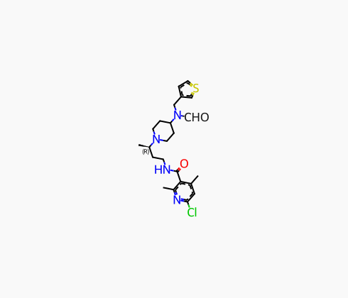 Cc1cc(Cl)nc(C)c1C(=O)NCC[C@@H](C)N1CCC(N(C=O)Cc2ccsc2)CC1